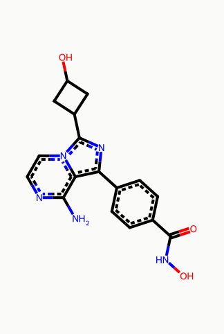 Nc1nccn2c(C3CC(O)C3)nc(-c3ccc(C(=O)NO)cc3)c12